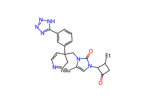 CCCCc1cn(C2C(=O)CC2CC)c(=O)n1CC1(c2cccc(-c3nnn[nH]3)c2)C=CN=CC1